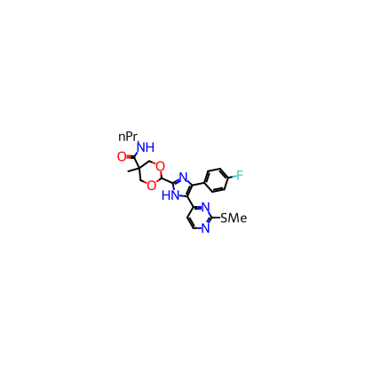 CCCNC(=O)C1(C)COC(c2nc(-c3ccc(F)cc3)c(-c3ccnc(SC)n3)[nH]2)OC1